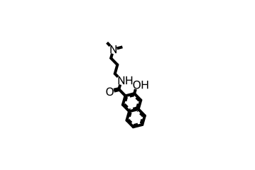 CN(C)CCCNC(=O)c1cc2ccccc2cc1O